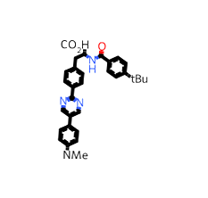 CNc1ccc(-c2cnc(-c3ccc(CC(NC(=O)c4ccc(C(C)(C)C)cc4)C(=O)O)cc3)nc2)cc1